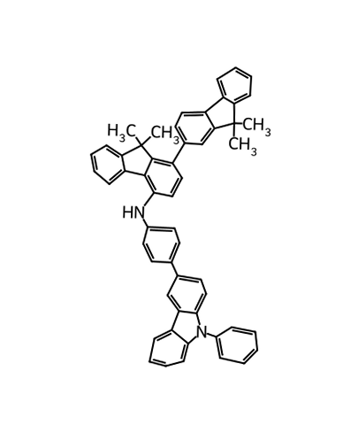 CC1(C)c2ccccc2-c2ccc(-c3ccc(Nc4ccc(-c5ccc6c(c5)c5ccccc5n6-c5ccccc5)cc4)c4c3C(C)(C)c3ccccc3-4)cc21